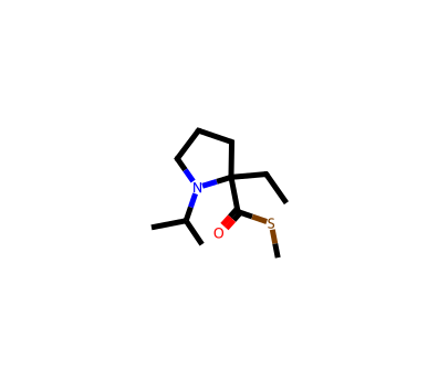 CCC1(C(=O)SC)CCCN1C(C)C